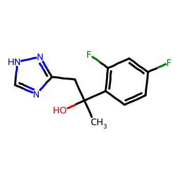 CC(O)(Cc1nc[nH]n1)c1ccc(F)cc1F